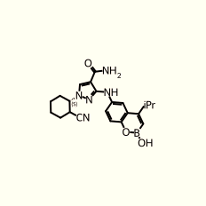 CC(C)C1=CB(O)Oc2ccc(Nc3nn([C@H]4CCCCC4C#N)cc3C(N)=O)cc21